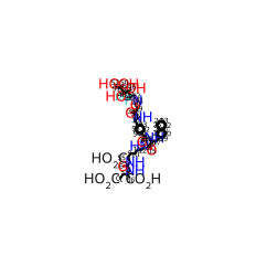 O=C(O)CCC(NC(=O)NC(CCCCNC(=O)C(Cc1ccc2ccccc2c1)NC(=O)c1ccc(CNC(=O)CO/N=C\C([18F])C(O)C(O)C(O)CO)cc1)C(=O)O)C(=O)O